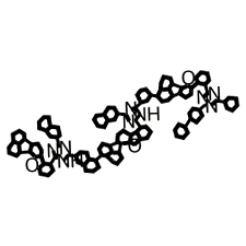 c1ccc(-c2ccc(-c3nc(-c4ccccc4)nc(-c4cccc5oc6c7c(ccc6c45)-c4ccc(-c5cccc(C6=NC(c8ccc9ccccc9c8)=NC(c8cccc9oc%10c%11c(ccc%10c89)-c8ccc(-c9cccc%10cc(C%12=NC(c%13ccc%14ccccc%14c%13)=NC(c%13cccc%14oc%15c%16c(ccc%15c%13%14)-c%13cccc%14cccc-%16c%13%14)N%12)ccc9%10)c9cccc-%11c89)N6)c5)c5cccc-7c45)n3)cc2)cc1